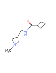 CN1CC(CNC(=O)C2CCC2)C1